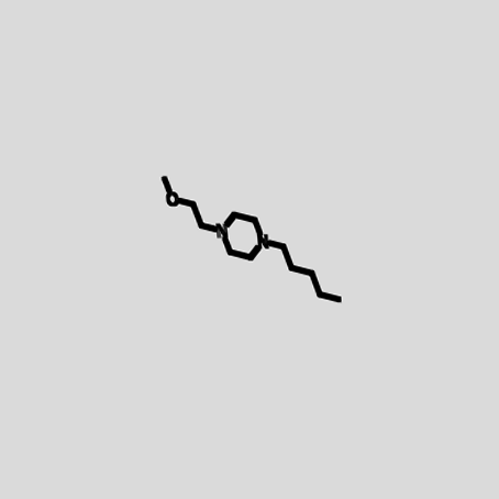 CCCCCN1CCN(CCOC)CC1